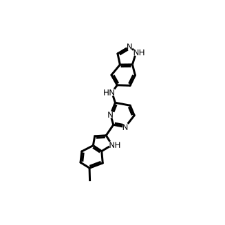 Cc1ccc2cc(-c3nccc(Nc4ccc5[nH]ncc5c4)n3)[nH]c2c1